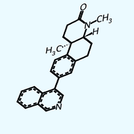 CN1C(=O)CC[C@]2(C)c3ccc(-c4cncc5ccccc45)cc3CC[C@@H]12